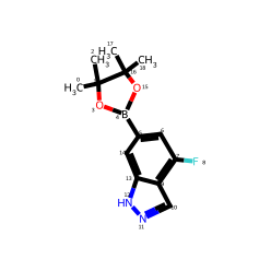 CC1(C)OB(c2cc(F)c3cn[nH]c3c2)OC1(C)C